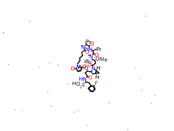 CC[C@H](C)[C@@H]([C@@H](CC(=O)N1[C@H]2C[C@H]2C[C@H]1[C@H](OC)[C@@H](C)C(=O)NC(Cc1ccccc1F)C(=O)O)OC)N(C)C(=O)C(NC(=O)C(C(C)C)N(C)C(=O)CCCCCN1C(=O)C=CC1=O)C(C)C